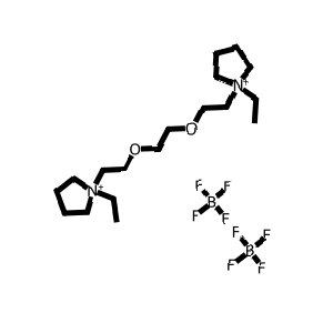 CC[N+]1(CCOCCOCC[N+]2(CC)CCCC2)CCCC1.F[B-](F)(F)F.F[B-](F)(F)F